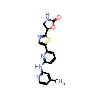 Cc1ccnc(Nc2cccc(-c3cnc(C4CNC(=O)O4)s3)n2)c1